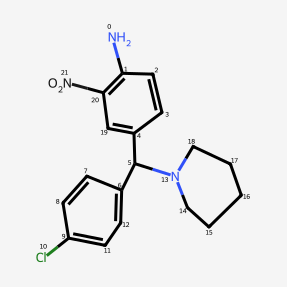 Nc1ccc(C(c2ccc(Cl)cc2)N2CCCCC2)cc1[N+](=O)[O-]